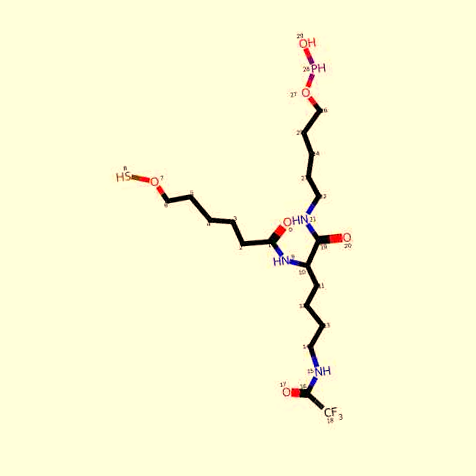 O=C(CCCCCOS)NC(CCCCNC(=O)C(F)(F)F)C(=O)NCCCCCOPO